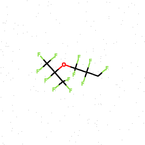 FCC(F)(F)C(F)(F)OC(F)(C(F)(F)F)C(F)(F)F